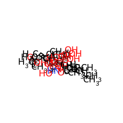 CCC(O)C(C)(C=O)[C@@H]1CC[C@@]23C(=C4C(C)C(CCC(C)C)(C(=O)O[C@@H]5O[C@H](CO)C(NC(=O)O[C@H]6CCC7(C)C8CCC9(C)C([C@H](C)CCCC(C)C)CC[C@H]9[C@@H]8CC[C@H]7C6)C(O)C5O[C@@H]5O[C@H](C)C(O[C@@H]6OC[C@@H](O)C(O)C6O)C(O)C5O)[C@@H](O)C[C@]42C)CC3C1(C)C